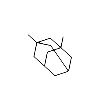 CCCC12C[C]3CC(CC(CC)(C3)C1)C2